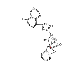 CN1C(=O)C2CC(C)(C(=O)Nc3nc(-c4ccc(F)c5ccccc45)c[nH]3)C1c1ccccc12